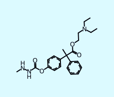 CCN(CC)CCOC(=O)C(C)(c1ccccc1)c1ccc(OC(=O)NNC)cc1